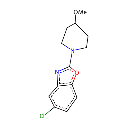 COC1CCN(c2nc3cc(Cl)ccc3o2)CC1